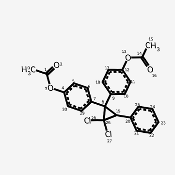 CC(=O)Oc1ccc(C2(c3ccc(OC(C)=O)cc3)C(c3ccccc3)C2(Cl)Cl)cc1